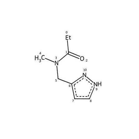 CCC(=O)N(C)Cc1cc[nH]n1